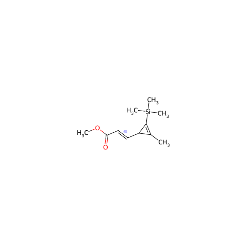 COC(=O)/C=C/C1C(C)=C1[Si](C)(C)C